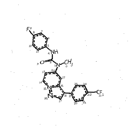 CN(C(=O)Nc1ccc(F)cc1)c1ccn2ncc(-c3ccc(C(F)(F)F)cc3)c2c1